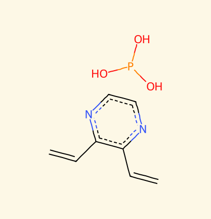 C=Cc1nccnc1C=C.OP(O)O